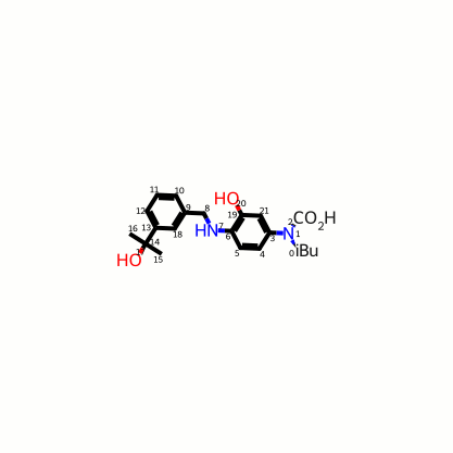 CC[C@H](C)N(C(=O)O)c1ccc(NCc2cccc(C(C)(C)O)c2)c(O)c1